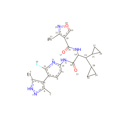 CCc1[nH]nc(C)c1-c1ccc(NC(=O)C(NC(=O)c2conc2C(C)C)C(C2CC2)C2CC2)nc1F